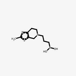 Cc1nc2c(s1)CN(CCCB(O)O)CC2